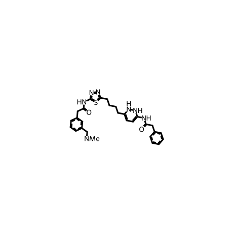 CNCc1cccc(CC(=O)Nc2nnc(CCCCC3=CC=C(NC(=O)Cc4ccccc4)NN3)s2)c1